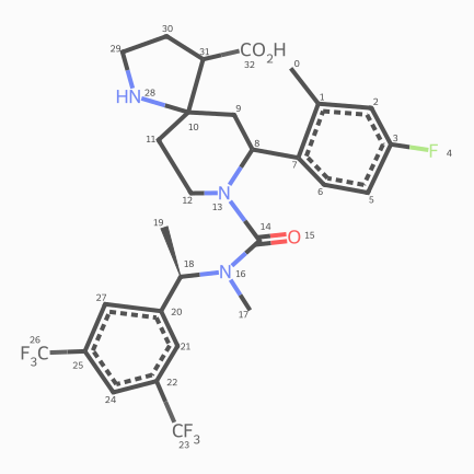 Cc1cc(F)ccc1C1CC2(CCN1C(=O)N(C)[C@H](C)c1cc(C(F)(F)F)cc(C(F)(F)F)c1)NCCC2C(=O)O